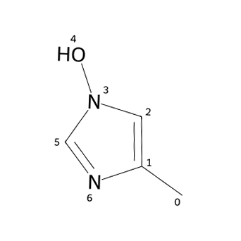 Cc1cn(O)cn1